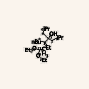 CCCCC(CC)C(O)(CC(C)C)CC(C)C.CCOC(C)OCC